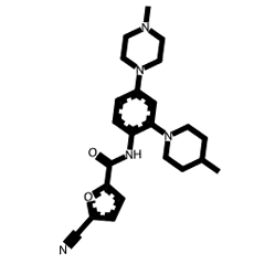 CC1CCN(c2cc(N3CCN(C)CC3)ccc2NC(=O)c2ccc(C#N)o2)CC1